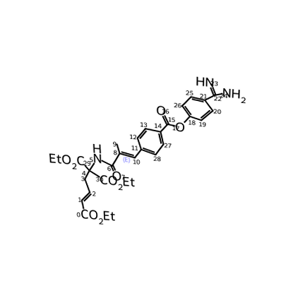 CCOC(=O)C=CCC(NC(=O)/C(C)=C/c1ccc(C(=O)Oc2ccc(C(=N)N)cc2)cc1)(C(=O)OCC)C(=O)OCC